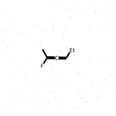 [CH2]CC=C=C(C)F